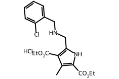 CCOC(=O)c1[nH]c(CNCc2ccccc2Cl)c(C(=O)OCC)c1C.Cl